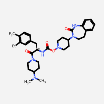 CCc1cc(C[C@@H](NC(=O)ON2CCC(N3CCc4ccccc4NC3=O)CC2)C(=O)N2CCC(N(C)C)CC2)ccc1C(F)(F)F